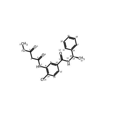 COC(=O)CC(=O)Nc1cc(C(=O)N[C@H](C)c2ccccc2)ccc1Cl